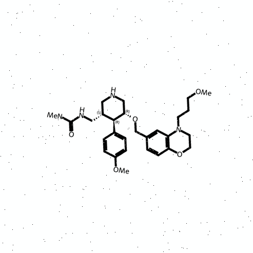 CNC(=O)NC[C@@H]1CNC[C@H](OCc2ccc3c(c2)N(CCCOC)CCO3)[C@H]1c1ccc(OC)cc1